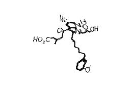 CC(CC(=O)O)CC(=O)c1c(CCCCCCc2cccc(Cl)c2)n(C[C@H](O)CO)c2ncc(C#N)cc12